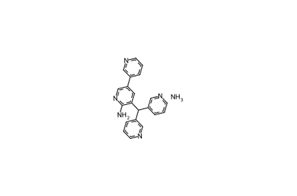 N.Nc1ncc(-c2cccnc2)cc1C(c1cccnc1)c1cccnc1